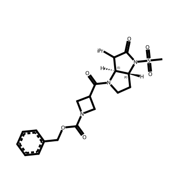 CC(C)C1C(=O)N(S(C)(=O)=O)[C@@H]2CCN(C(=O)C3CN(C(=O)OCc4ccccc4)C3)[C@@H]12